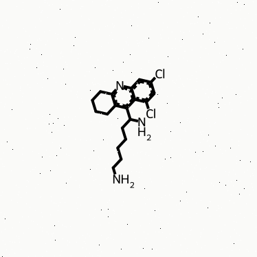 NCCCCCC(N)c1c2c(nc3cc(Cl)cc(Cl)c13)CCCC2